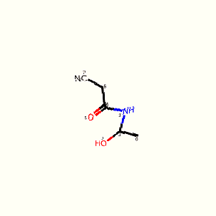 CC(O)NC(=O)CC#N